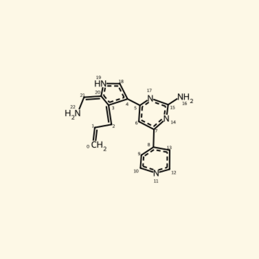 C=C/C=c1/c(-c2cc(-c3ccncc3)nc(N)n2)c[nH]/c1=C/N